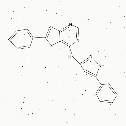 c1ccc(-c2cc(Nc3ncnc4cc(-c5ccccc5)sc34)n[nH]2)cc1